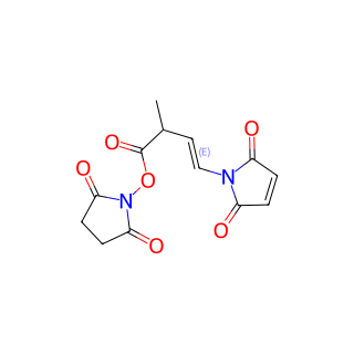 CC(/C=C/N1C(=O)C=CC1=O)C(=O)ON1C(=O)CCC1=O